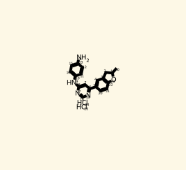 CC1Cc2cc(-c3cc(Nc4ccc(N)cc4)ncn3)ccc2O1.Cl.Cl